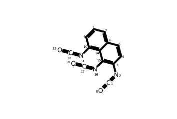 O=C=Nc1ccc2cccc(N=C=O)c2c1N=C=O